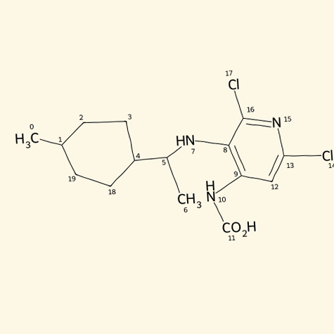 CC1CCC(C(C)Nc2c(NC(=O)O)cc(Cl)nc2Cl)CC1